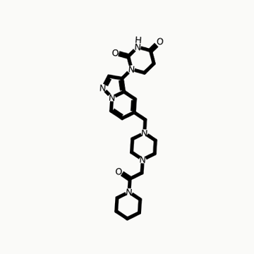 O=C1CCN(c2cnn3ccc(CN4CCN(CC(=O)N5CCCCC5)CC4)cc23)C(=O)N1